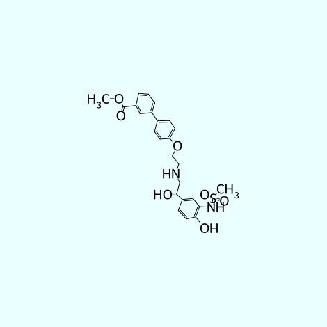 COC(=O)c1cccc(-c2ccc(OCCNC[C@@H](O)c3ccc(O)c(NS(C)(=O)=O)c3)cc2)c1